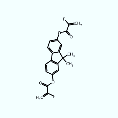 C=C(F)C(=O)Oc1ccc2c(c1)C(C)(C)c1cc(OC(=O)C(=C)F)ccc1-2